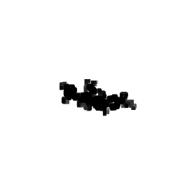 COc1c(N2CCC(C(N)=O)CC2)c(F)cc2c(=O)c(C(=O)NCc3ccc(Cl)cc3Cl)cn(CC(F)(F)F)c12